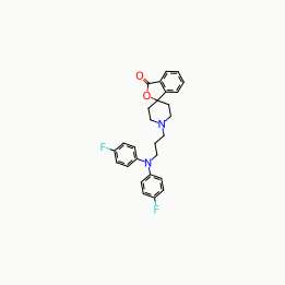 O=C1OC2(CCN(CCCN(c3ccc(F)cc3)c3ccc(F)cc3)CC2)c2ccccc21